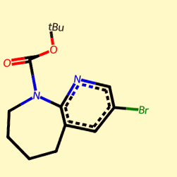 CC(C)(C)OC(=O)N1CCCCc2cc(Br)cnc21